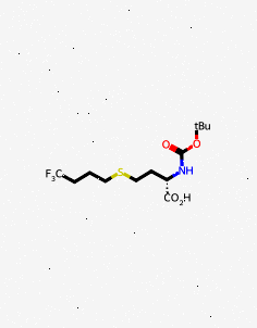 CC(C)(C)OC(=O)N[C@@H](CCSCCCC(F)(F)F)C(=O)O